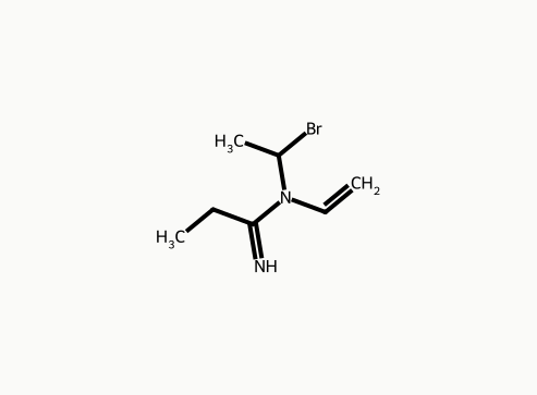 C=CN(C(=N)CC)C(C)Br